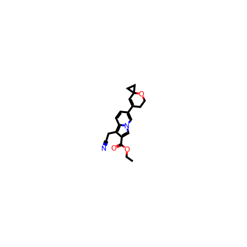 CCOC(=O)c1cn2cc(C3=CC4(CC4)OCC3)ccc2c1CC#N